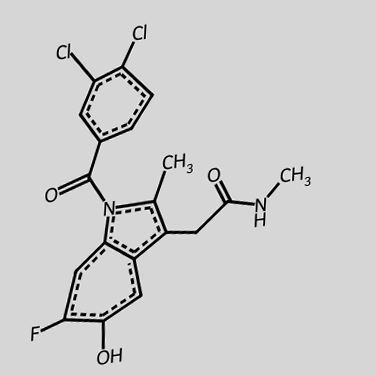 CNC(=O)Cc1c(C)n(C(=O)c2ccc(Cl)c(Cl)c2)c2cc(F)c(O)cc12